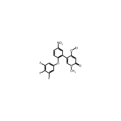 CCOc1cc(=O)n(C)cc1-c1cc([N+](=O)[O-])ccc1Oc1cc(F)c(F)c(F)c1